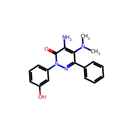 CN(C)c1c(-c2ccccc2)nn(-c2cccc(O)c2)c(=O)c1N